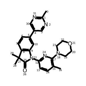 Cc1ncc(-c2ccc3c(c2)N(c2ccc(C)c(N4CCOCC4)n2)C(=O)C3(C)C)cn1